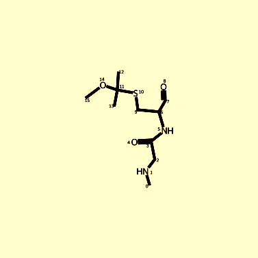 CNCC(=O)NC(C=O)CSC(C)(C)OC